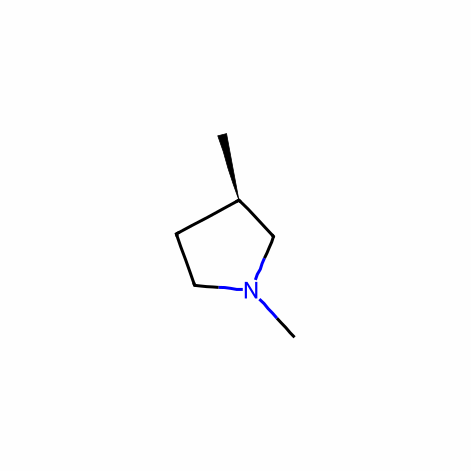 C[C@@H]1CCN(C)C1